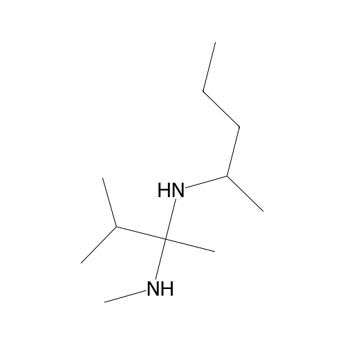 CCCC(C)NC(C)(NC)C(C)C